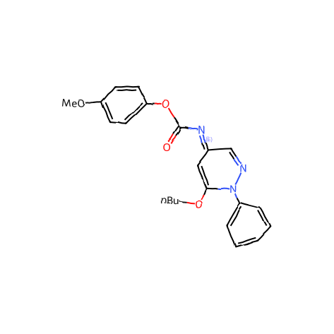 CCCCOc1c/c(=N\C(=O)Oc2ccc(OC)cc2)cnn1-c1ccccc1